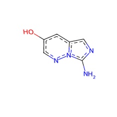 Nc1ncc2cc(O)cnn12